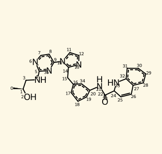 C[C@H](O)CNc1nccc(-n2ccnc2Cc2cccc(NC(=O)C3C=Cc4ccccc4N3)c2)n1